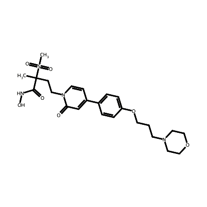 CC(CCn1ccc(-c2ccc(OCCCN3CCOCC3)cc2)cc1=O)(C(=O)NO)S(C)(=O)=O